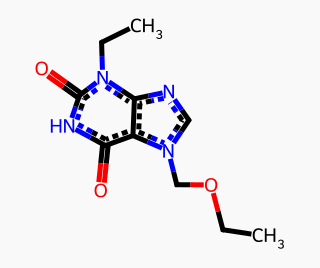 CCOCn1cnc2c1c(=O)[nH]c(=O)n2CC